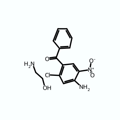 NCCO.Nc1cc(Cl)c(C(=O)c2ccccc2)cc1[N+](=O)[O-]